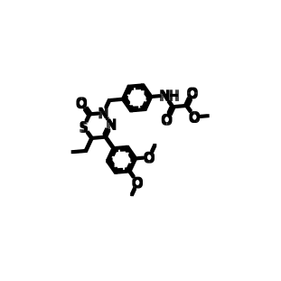 CCC1SC(=O)N(Cc2ccc(NC(=O)C(=O)OC)cc2)N=C1c1ccc(OC)c(OC)c1